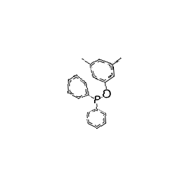 Cc1cc(C)cc(OP(c2ccccc2)c2ccccc2)c1